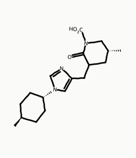 C[C@@H]1CC(Cc2cn([C@H]3CC[C@H](C)CC3)cn2)C(=O)N(C(=O)O)C1